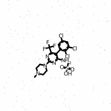 CN1CCN(c2nc(N)c(-c3cc(Cl)cc(Cl)c3Cl)c(C(F)(F)F)n2)CC1.CS(=O)(=O)O